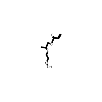 C=CC(=O)OCC(C)OCCOO